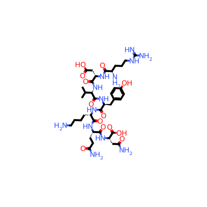 CC(C)[C@H](NC(=O)[C@H](CC(=O)O)NC(=O)[C@@H](N)CCCNC(=N)N)C(=O)N[C@@H](Cc1ccc(O)cc1)C(=O)N[C@@H](CCCCN)C(=O)N[C@@H](CCC(N)=O)C(=O)N[C@@H](CC(N)=O)C(=O)O